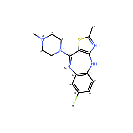 Cc1nc2c(s1)C(N1CCN(C)CC1)=Nc1cc(F)ccc1N2